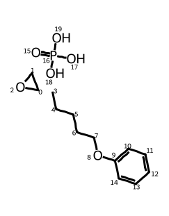 C1CO1.CCCCCOc1ccccc1.O=P(O)(O)O